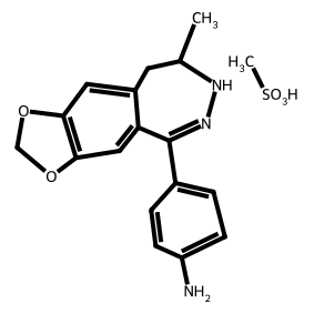 CC1Cc2cc3c(cc2C(c2ccc(N)cc2)=NN1)OCO3.CS(=O)(=O)O